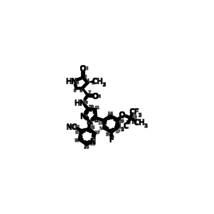 C[C@H]1C(=O)NC[C@@H]1C(=O)Nc1cc(-c2cc(F)cc(OC(C)(C)C(F)(F)F)c2)n(-c2cnccc2C#N)n1